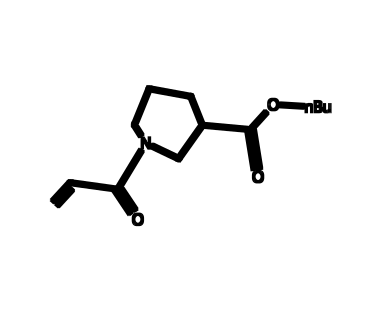 C=CC(=O)N1CCCC(C(=O)OCCCC)C1